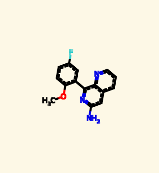 COc1ccc(F)cc1-c1nc(N)cc2cccnc12